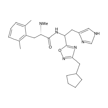 CN[C@@H](Cc1c(C)cccc1C)C(=O)NC(Cc1c[nH]cn1)c1nc(CC2CCCC2)no1